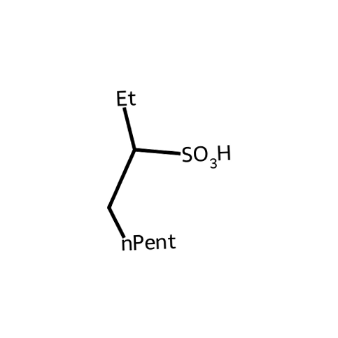 CCCCCCC(CC)S(=O)(=O)O